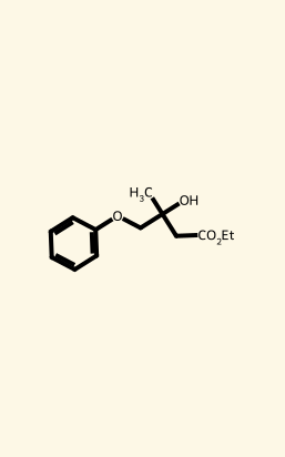 CCOC(=O)CC(C)(O)COc1ccccc1